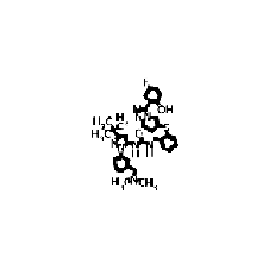 CN(C)Cc1cccc(-n2nc(C(C)(C)C)cc2NC(=O)NCc2ccccc2Sc2ccc3nnc(-c4cc(F)ccc4O)n3c2)c1